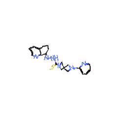 S=C(N/N=C1\CCCc2cccnc21)N1CC2(C1)CN(c1ccccn1)C2